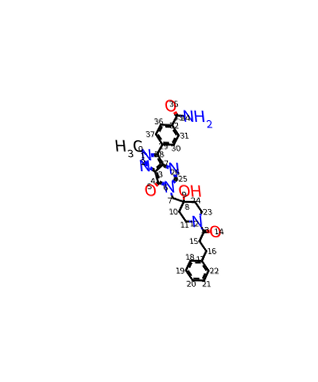 Cn1nc2c(=O)n(CC3(O)CCN(C(=O)CCc4ccccc4)CC3)cnc2c1-c1ccc(C(N)=O)cc1